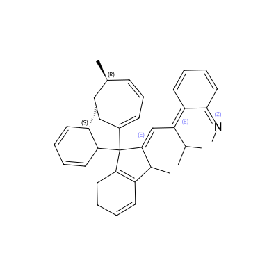 C/N=C1/C=CC=C/C1=C(\C=C1/C(C)C2=C(CCC=C2)C1(C1=CC=C[C@H](C)CC1)C1C=CC=C[C@@H]1C)C(C)C